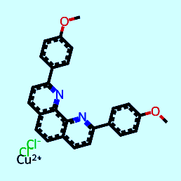 COc1ccc(-c2ccc3ccc4ccc(-c5ccc(OC)cc5)nc4c3n2)cc1.[Cl-].[Cl-].[Cu+2]